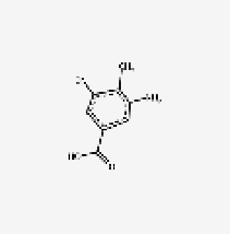 Cc1c(N)cc(C(=O)O)cc1Br